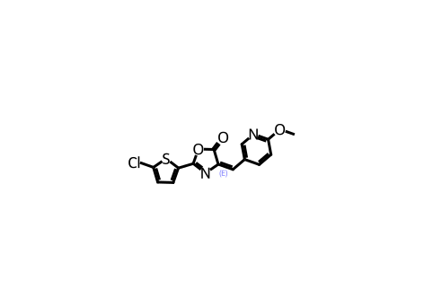 COc1ccc(/C=C2/N=C(c3ccc(Cl)s3)OC2=O)cn1